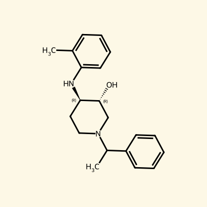 Cc1ccccc1N[C@@H]1CCN(C(C)c2ccccc2)C[C@H]1O